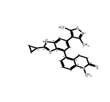 Cc1noc(C)c1-c1cc(-c2cccc3c2CCC(=O)N3C)c2nc(C3CC3)[nH]c2c1